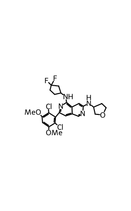 COc1cc(OC)c(Cl)c(-c2cc3cnc(NC4CCOC4)cc3c(NC3CCC(F)(F)C3)n2)c1Cl